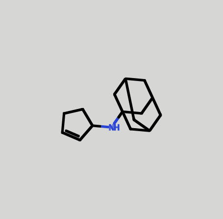 C1=CC(NC23CC4CC(CC(C4)C2)C3)CC1